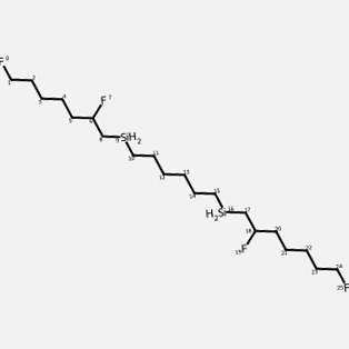 FCCCCCC(F)C[SiH2]CCCCCC[SiH2]CC(F)CCCCCF